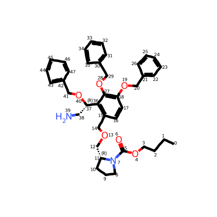 CCCCOC(=O)N1CCC[C@@H]1COCc1ccc(OCc2ccccc2)c(OCc2ccccc2)c1[C@H](CN)OCc1ccccc1